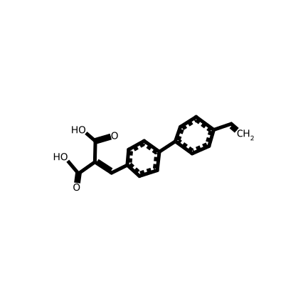 C=Cc1ccc(-c2ccc(C=C(C(=O)O)C(=O)O)cc2)cc1